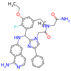 CCOc1cc(CC)cc(C(Nc2ccc3c(N)nccc3c2)c2nc(-c3ccccc3)cn2CC(=O)NCC(N)=O)c1F